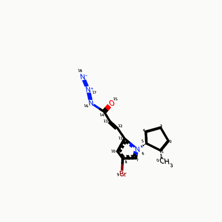 C[C@H]1CCC[C@H]1n1cc(Br)cc1C=CC(=O)N=[N+]=[N-]